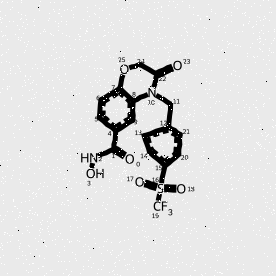 O=C(NO)c1ccc2c(c1)N(Cc1ccc(S(=O)(=O)C(F)(F)F)cc1)C(=O)CO2